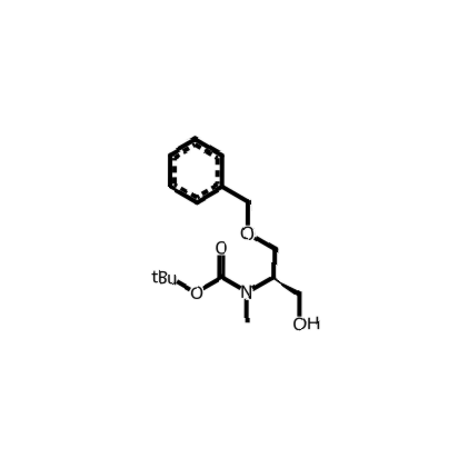 CN(C(=O)OC(C)(C)C)[C@H](CO)COCc1ccccc1